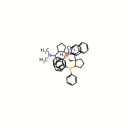 CN(C)C(c1ccccc1)C1CCCC1[PH](C[C@@]1(C(c2ccccc2)N(C)C)CCCC1P(c1ccccc1)c1ccccc1)(c1ccccc1)c1ccccc1